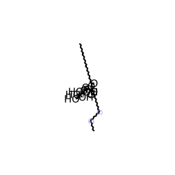 CCCCCC=CCCCCC=CCCCCCCCCC(=O)OC[C@H](COP(=O)(O)OC[C@@H](O)[C@@H](O)[C@H](O)CO)OC(=O)CCCCCCCC/C=C\CCCC/C=C\CCCCC